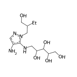 CCC(CO)Cn1ncc(N)c1NCC(O)C(O)C(O)CO